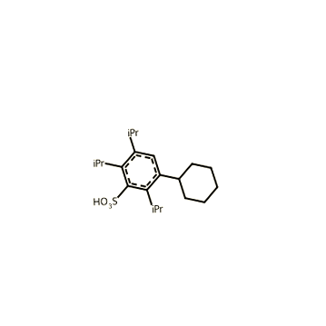 CC(C)c1cc(C2CCCCC2)c(C(C)C)c(S(=O)(=O)O)c1C(C)C